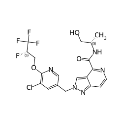 C[C@@H](CO)NC(=O)c1nccc2nn(Cc3cnc(OC[C@H](F)C(F)(F)F)c(Cl)c3)cc12